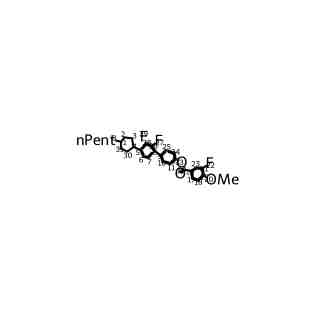 CCCCCC1CCC(c2ccc(-c3ccc(OC(=O)c4ccc(OC)c(F)c4)cc3)c(F)c2F)CC1